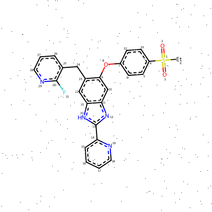 CCS(=O)(=O)c1ccc(Oc2cc3nc(-c4ccccn4)[nH]c3cc2Cc2cccnc2F)cc1